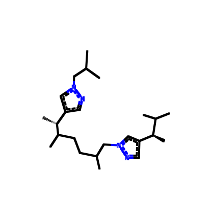 CC(C)Cn1cc([C@@H](C)C(C)CCC(C)Cn2cc([C@H](C)C(C)C)cn2)cn1